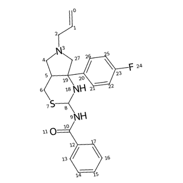 C=CCN1CC2CSC(NC(=O)c3ccccc3)NC2(c2ccc(F)cc2)C1